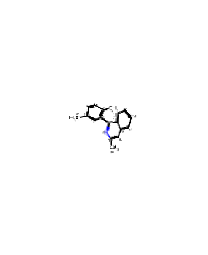 Cc1ccc(C)c(-c2nc(C)cc3ccccc23)c1